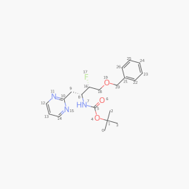 CC(C)(C)OC(=O)N[C@H](Cc1ncccn1)[C@H](F)COCc1ccccc1